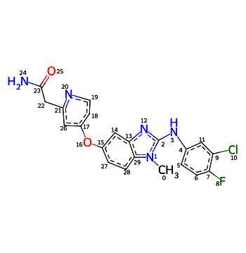 Cn1c(Nc2ccc(F)c(Cl)c2)nc2cc(Oc3ccnc(CC(N)=O)c3)ccc21